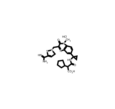 Cl.Cn1c(=O)c(CN2CC=C(C(=N)N)S2)nc2cc(C3(NC(=O)C(C(=O)O)C4CCCC4)CC3)ccc21